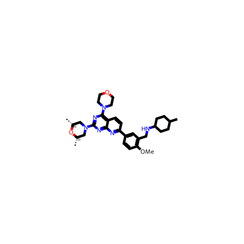 COc1ccc(-c2ccc3c(N4CCOCC4)nc(N4C[C@@H](C)O[C@@H](C)C4)nc3n2)cc1CNC1CCC(C)CC1